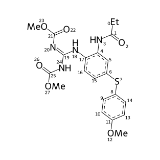 CCC(=O)Nc1cc(Sc2ccc(OC)cc2)ccc1NC(=NC(=O)OC)NC(=O)OC